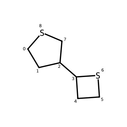 C1CC(C2CCS2)CS1